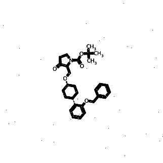 CC(C)(C)OC(=O)N1CCC(=O)C1CO[C@H]1CC[C@@H](c2ccccc2OCc2ccccc2)CC1